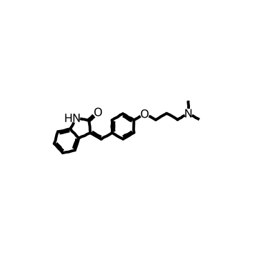 CN(C)CCCOc1ccc(/C=C2\C(=O)Nc3ccccc32)cc1